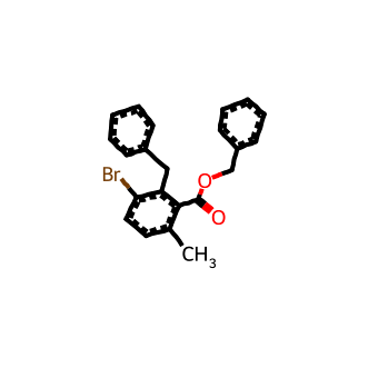 Cc1ccc(Br)c(Cc2ccccc2)c1C(=O)OCc1ccccc1